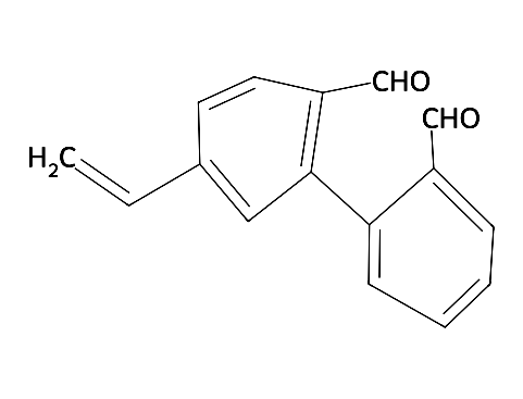 C=Cc1ccc(C=O)c(-c2ccccc2C=O)c1